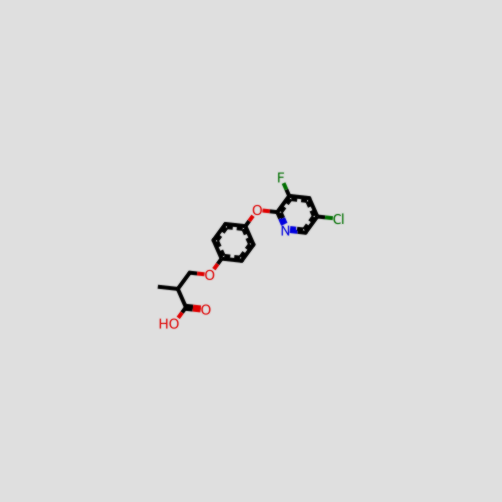 CC(COc1ccc(Oc2ncc(Cl)cc2F)cc1)C(=O)O